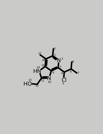 Cc1nc(C(Cl)C(C)C)c2nc(CO)[nH]c2c1C